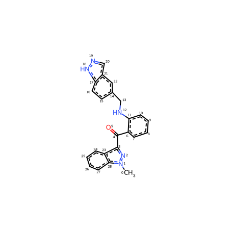 Cn1nc(C(=O)c2ccccc2NCc2ccc3[nH]ncc3c2)c2ccccc21